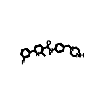 Cc1nc(-c2cccc(F)c2)ccc1C(=O)N(C)c1ccc(CN2CCNCC2)cc1